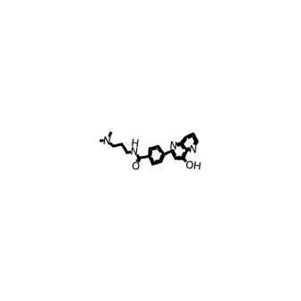 CN(C)CCCNC(=O)c1ccc(-c2cc(O)c3ncccc3n2)cc1